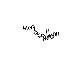 Bc1cccc(Nc2[nH]nc3c2Cc2cc(OCCCOC)ccc2-3)c1